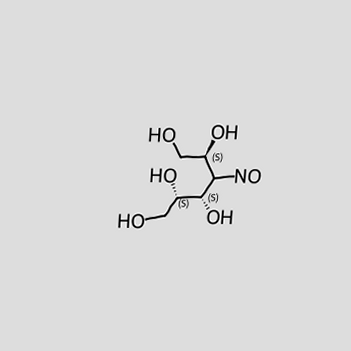 O=NC([C@H](O)CO)[C@H](O)[C@@H](O)CO